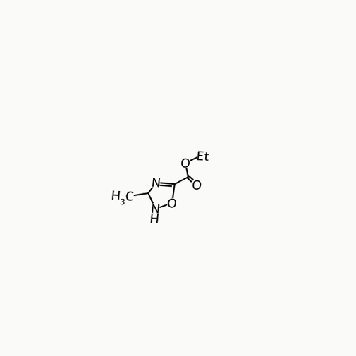 CCOC(=O)C1=NC(C)NO1